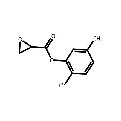 Cc1ccc(C(C)C)c(OC(=O)C2CO2)c1